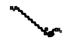 CCCCCCCCCCCCCCCCCC(=O)Oc1cc2cc(CC)c1o2